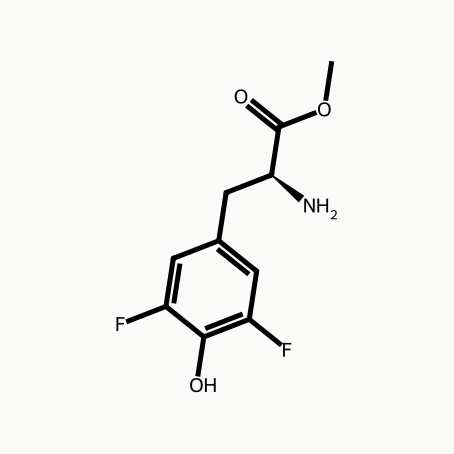 COC(=O)[C@@H](N)Cc1cc(F)c(O)c(F)c1